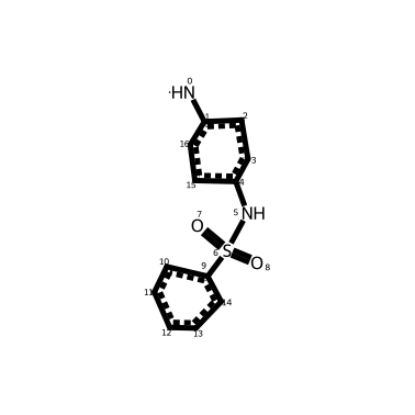 [NH]c1ccc(NS(=O)(=O)c2ccccc2)cc1